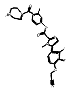 Cc1cc(NC(=O)c2ncc(-c3ccc(OCC#N)c(F)c3F)n2C)ccc1C(=O)N1CCNCC1